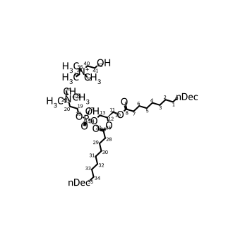 CCCCCCCCCCCCCCCCCC(=O)OC[C@H](COP(=O)(O)OCC[N+](C)(C)C)OC(=O)CCCCCCCCCCCCCCCCC.C[N+](C)(C)CCO